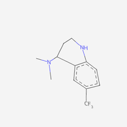 CN(C)C1CCNc2ccc(C(F)(F)F)cc21